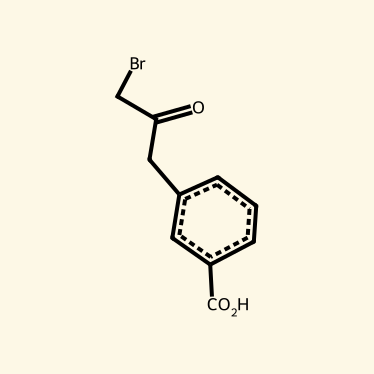 O=C(CBr)Cc1cccc(C(=O)O)c1